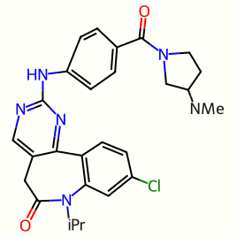 CNC1CCN(C(=O)c2ccc(Nc3ncc4c(n3)-c3ccc(Cl)cc3N(C(C)C)C(=O)C4)cc2)C1